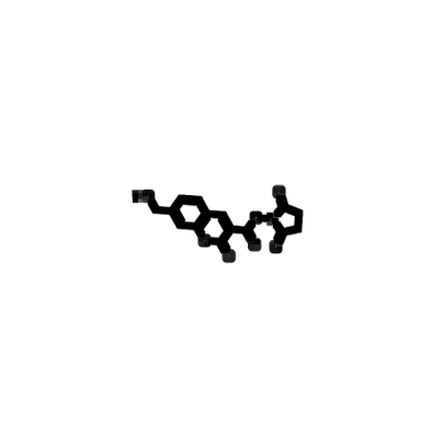 O=C(ON1C(=O)CCC1=O)c1cc2ccc(CO)cc2oc1=O